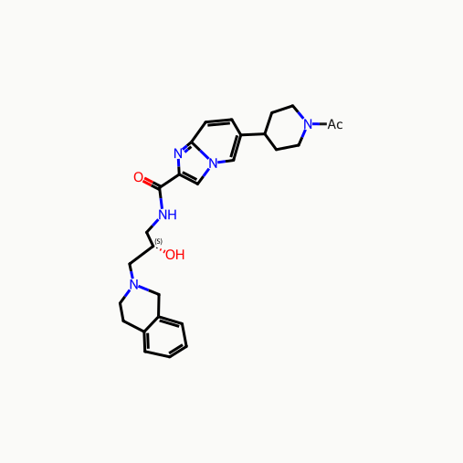 CC(=O)N1CCC(c2ccc3nc(C(=O)NC[C@H](O)CN4CCc5ccccc5C4)cn3c2)CC1